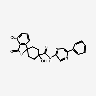 O=C1OC2(CCC(O)(C(=O)Nc3cnc(-c4ccccc4)cn3)CC2)c2ccc[n+]([O-])c21